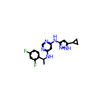 CC(Nc1cc(Nc2cc(C3CC3)[nH]n2)ncn1)c1ccc(F)cc1F